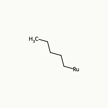 CCCC[CH2][Ru]